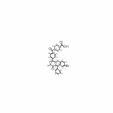 CCC(=O)C1=C(c2ccccc2)c2cc(Br)ccc2CN1C(=O)c1ccc(C(=O)N2CCN(C(=O)O)CC2)cc1